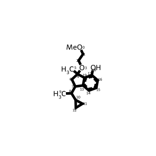 COCCOC1(C)CC(C(C)C2CC2)c2cccc(O)c21